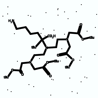 CC(C)(C)OC(=O)CN(CCN(CCN(CC(=O)OC(C)(C)C)CC(=O)OC(C)(C)C)C(CCCCN)(C(=O)O)C(C)(C)C)CC(=O)OC(C)(C)C